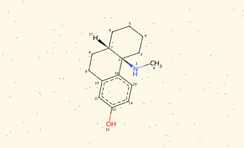 CN[C@]12CCCC[C@H]1CCc1cc(O)ccc12